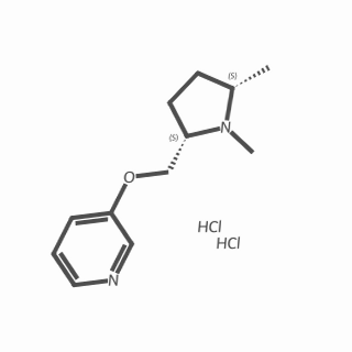 C[C@H]1CC[C@@H](COc2cccnc2)N1C.Cl.Cl